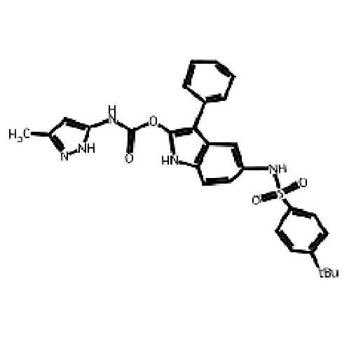 Cc1cc(NC(=O)Oc2[nH]c3ccc(NS(=O)(=O)c4ccc(C(C)(C)C)cc4)cc3c2-c2ccccc2)[nH]n1